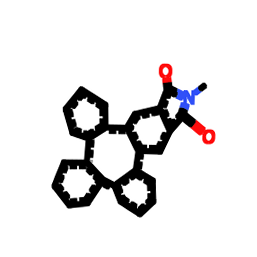 Cn1c(=O)c2cc3c4ccccc4c4ccccc4c4ccccc4c3cc2c1=O